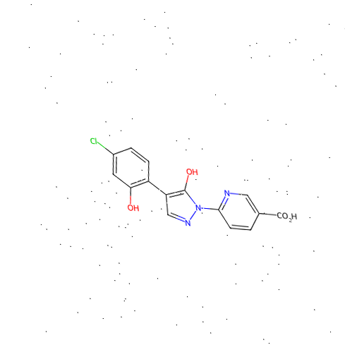 O=C(O)c1ccc(-n2ncc(-c3ccc(Cl)cc3O)c2O)nc1